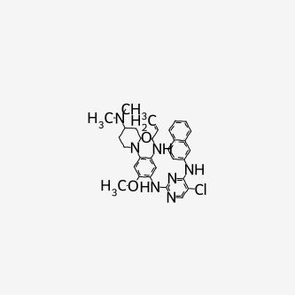 C=CC(=O)Nc1cc(Nc2ncc(Cl)c(Nc3ccc4ccccc4c3)n2)c(OC)cc1N1CCC(N(C)C)CC1